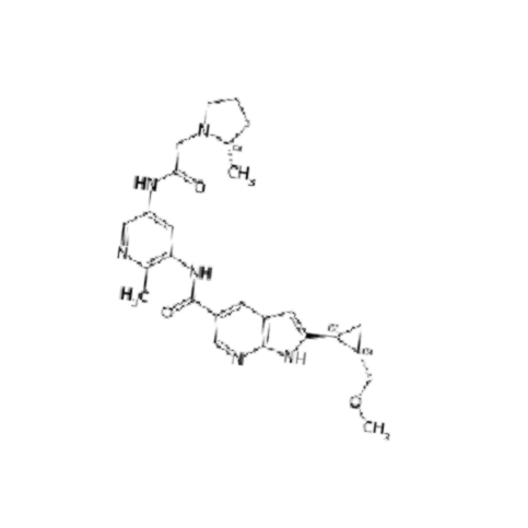 COC[C@H]1C[C@@H]1c1cc2cc(C(=O)Nc3cc(NC(=O)CN4CCC[C@@H]4C)cnc3C)cnc2[nH]1